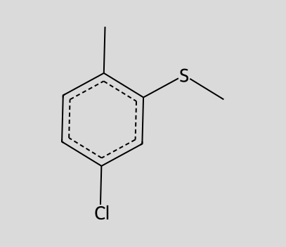 CSc1cc(Cl)ccc1C